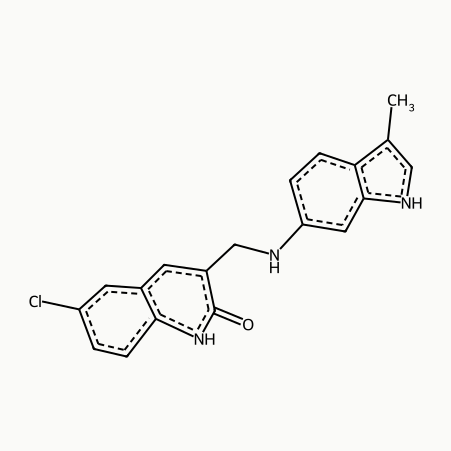 Cc1c[nH]c2cc(NCc3cc4cc(Cl)ccc4[nH]c3=O)ccc12